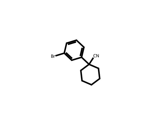 N#CC1(c2cccc(Br)c2)CCCCC1